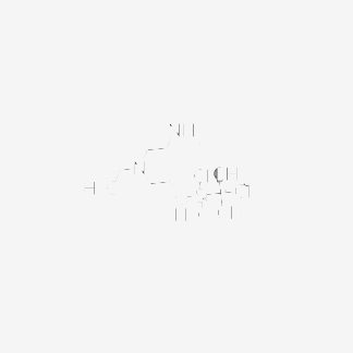 CCN(CCN)CCO[Si](C)(C)C(C)(C)C